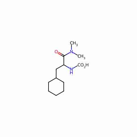 CN(C)C(=O)C(CC1CCCCC1)NC(=O)O